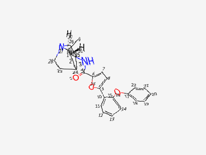 C[C@H]1[C@H](NC(=O)c2ccc(-c3ccccc3Oc3ccccc3)o2)C2CCN1CC2